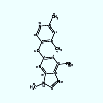 Cc1cc(C)c(Oc2cc(N)c3ncn(C)c3n2)cn1